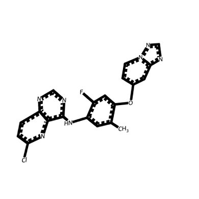 Cc1cc(Nc2ncnc3ccc(Cl)nc23)c(F)cc1Oc1ccn2ncnc2c1